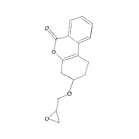 O=c1oc2c(c3ccccc13)CCC(OCC1CO1)C2